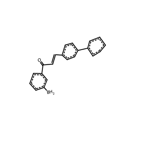 Bc1cccc(C(=O)/C=C/c2ccc(-c3ccccc3)cc2)c1